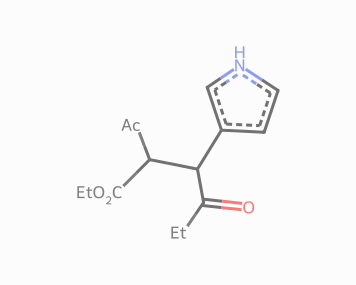 CCOC(=O)C(C(C)=O)C(C(=O)CC)c1cc[nH]c1